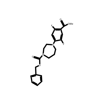 COC(=O)c1cc(F)c(N2CCCN(C(=O)OCc3ccccc3)CC2)cc1F